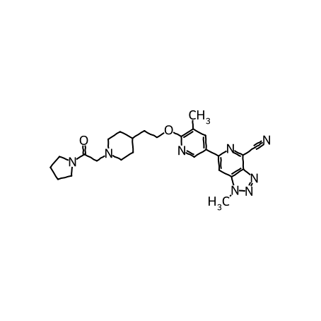 Cc1cc(-c2cc3c(nnn3C)c(C#N)n2)cnc1OCCC1CCN(CC(=O)N2CCCC2)CC1